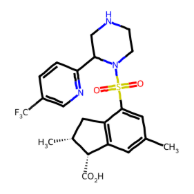 Cc1cc2c(c(S(=O)(=O)N3CCNCC3c3ccc(C(F)(F)F)cn3)c1)C[C@@H](C)[C@H]2C(=O)O